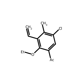 C=Cc1c(C)c(Cl)cc(C(C)=O)c1OCC